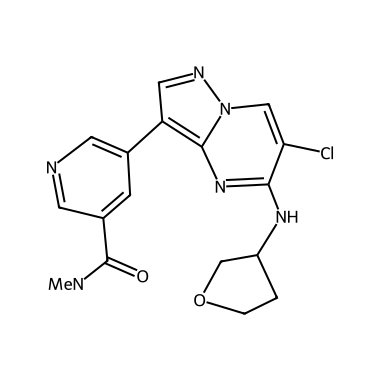 CNC(=O)c1cncc(-c2cnn3cc(Cl)c(NC4CCOC4)nc23)c1